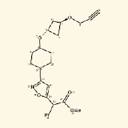 C#CCO[C@H]1C[C@H](OC2CCN(c3cc(C(C(=O)OC)C(C)C)on3)CC2)C1